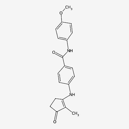 COc1ccc(NC(=O)c2ccc(NC3=C(C)C(=O)CC3)cc2)cc1